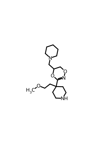 COCCC1(C2=NOCC(CN3CCCCC3)O2)CCNCC1